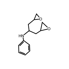 c1ccc(N[C](CC2CO2)CC2CO2)cc1